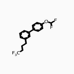 FC(F)Oc1ccc(-c2cccc(CCCC(F)(F)F)c2)cc1